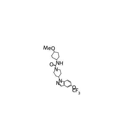 CO[C@H]1CC[C@H](NC(=O)N2CCC(n3ncc4cc(OC(F)(F)F)ccc43)CC2)CC1